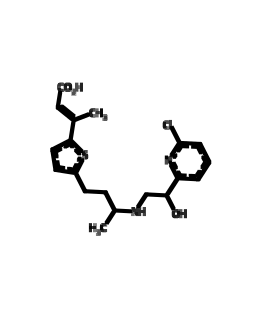 CC(=CC(=O)O)c1ccc(CCC(C)NCC(O)c2cccc(Cl)n2)s1